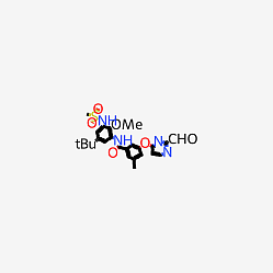 COc1c(NC(=O)c2cc(C)cc(Oc3ccnc(C=O)n3)c2)cc(C(C)(C)C)cc1NS(C)(=O)=O